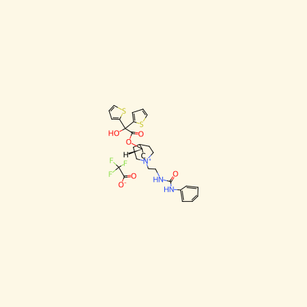 O=C(NCC[N+]12CCC(CC1)[C@@H](OC(=O)C(O)(c1cccs1)c1cccs1)C2)Nc1ccccc1.O=C([O-])C(F)(F)F